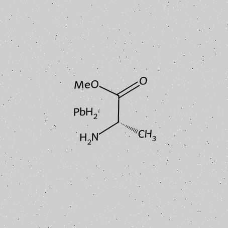 COC(=O)[C@H](C)N.[PbH2]